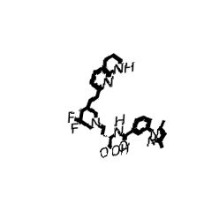 Cc1cc(C)n(-c2cccc(C(=O)N[C@@H](CCN3CC(CCc4ccc5c(n4)NCCC5)CC(F)(F)C3)C(=O)O)c2)n1